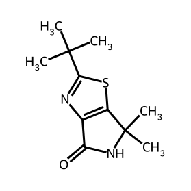 CC(C)(C)c1nc2c(s1)C(C)(C)NC2=O